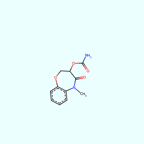 CN1C(=O)C(OC(N)=O)COc2ccccc21